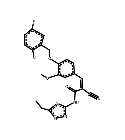 CCc1nnc(NC(=O)C(C#N)=Cc2ccc(OCc3cc(F)ccc3Cl)c(OC)c2)s1